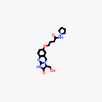 O=C(CCCOc1ccc2c(c1)CN1C(=N2)NC(=O)C1CO)NN1CCCC1